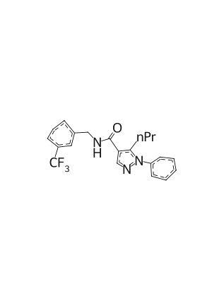 CCCc1c(C(=O)NCc2cccc(C(F)(F)F)c2)cnn1-c1ccccc1